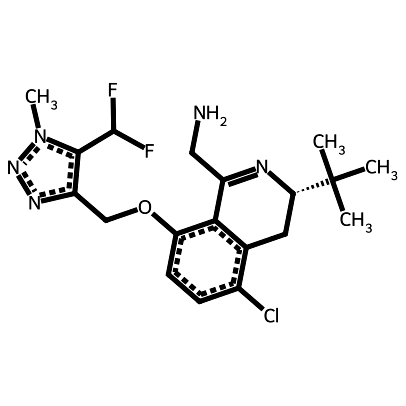 Cn1nnc(COc2ccc(Cl)c3c2C(CN)=N[C@H](C(C)(C)C)C3)c1C(F)F